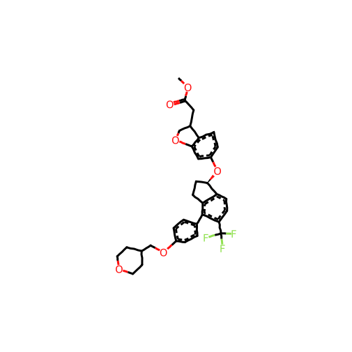 COC(=O)CC1COc2cc(O[C@@H]3CCc4c3ccc(C(F)(F)F)c4-c3ccc(OCC4CCOCC4)cc3)ccc21